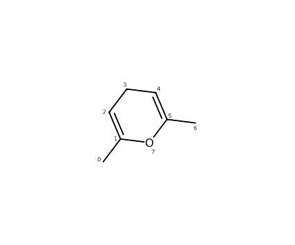 CC1=CCC=C(C)O1